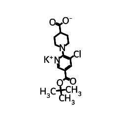 CC(C)(C)OC(=O)c1cnc(N2CCC(C(=O)[O-])CC2)c(Cl)c1.[K+]